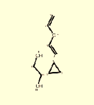 C1CC1.C=COC=C.OCCO